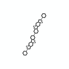 c1ccc(-c2cc3cc4sc5cc(-c6ccc7c(c6)sc6cc8cc(-c9ccccc9)sc8cc67)ccc5c4cc3s2)cc1